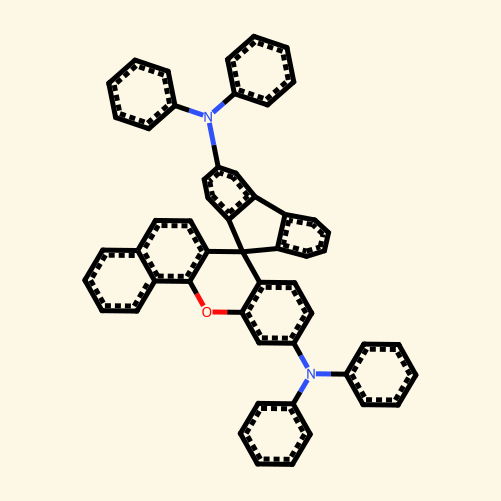 c1ccc(N(c2ccccc2)c2ccc3c(c2)Oc2c(ccc4ccccc24)C32c3ccccc3-c3cc(N(c4ccccc4)c4ccccc4)ccc32)cc1